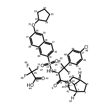 N[C@@H]1[C@@H]2CC[C@H]1CN(C(=O)[C@@H](NS(=O)(=O)c1ccc3cc(OC4CCCC4)ccc3c1)C(F)(F)c1ccc(Cl)cc1)C2.O=C(O)C(F)(F)F